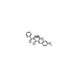 COc1ccc2cc(C(=O)N(N)C(=O)c3ccccc3)c(=O)oc2c1